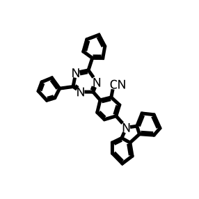 N#Cc1cc(-n2c3ccccc3c3ccccc32)ccc1-c1nc(-c2ccccc2)nc(-c2ccccc2)n1